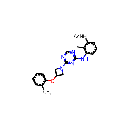 CC(=O)Nc1cccc(Nc2ncnc(N3CC(Oc4ccccc4C(F)(F)F)C3)n2)c1C